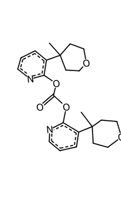 CC1(c2cccnc2OC(=O)Oc2ncccc2C2(C)CCOCC2)CCOCC1